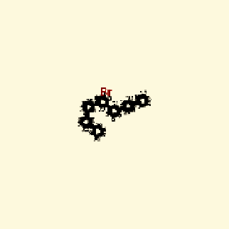 Brc1cc(-c2cccc(-c3ccc(-c4ccccc4)cc3)c2)cc(-c2cccc(-c3cccc(-c4ccccc4)c3)c2)c1